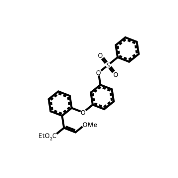 CCOC(=O)/C(=C/OC)c1ccccc1Oc1cccc(OS(=O)(=O)c2ccccc2)c1